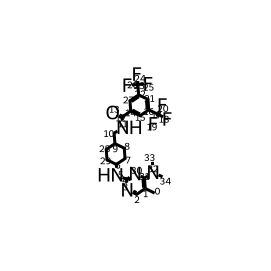 Cc1cnc(NC2CCC(CNC(=O)c3cc(C(F)(F)F)cc(C(F)(F)F)c3)CC2)nc1N(C)C